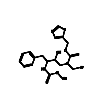 CC(C)CN(CC(O)C(Cc1ccccc1)NC(=O)OC(C)(C)C)C(=O)OCc1cncs1